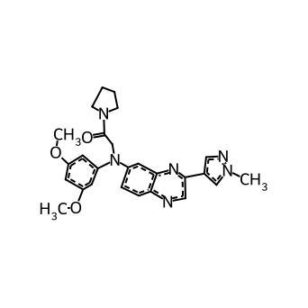 COc1cc(OC)cc(N(CC(=O)N2CCCC2)c2ccc3ncc(-c4cnn(C)c4)nc3c2)c1